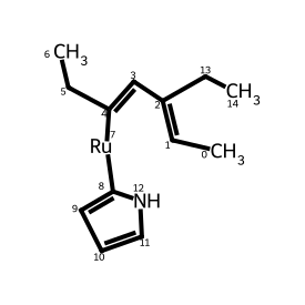 CC=C(C=[C](CC)[Ru][c]1ccc[nH]1)CC